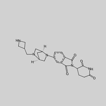 O=C1CCC(N2C(=O)c3ccc(N4C[C@@H]5C[C@H]4CN5CC4CNC4)cc3C2=O)C(=O)N1